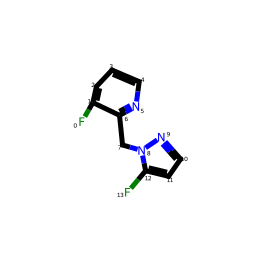 Fc1cccnc1Cn1nccc1F